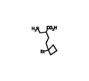 CCC1(CCC(CN)C(=O)O)CCC1